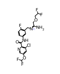 N/C(COCC(F)F)=N/Cc1cc(NC(=O)c2ncc(OC(F)F)cc2Cl)ccc1F